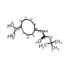 CC(C)(C)OC(=O)NC1CCCCC(B(O)O)CCC1